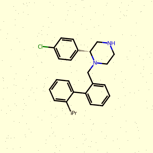 CC(C)c1ccccc1-c1ccccc1CN1CCNC[C@H]1c1ccc(Cl)cc1